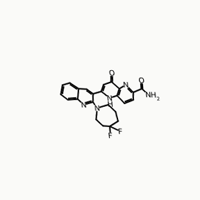 NC(=O)c1ccc2[nH]c(-c3cc4ccccc4nc3N3CCCC(F)(F)CC3)cc(=O)c2n1